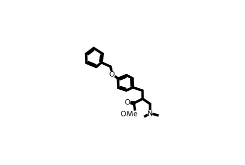 COC(=O)C(Cc1ccc(OCc2ccccc2)cc1)CN(C)C